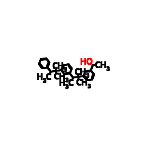 CC(O)c1cccc(C(C)(C)C(C)c2cccc(C(C)(C)C(C)c3ccccc3)c2)c1